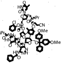 COc1ccc(C(OC[C@@H]2O[C@@H](n3cnc4c3N=CNC4NC(=O)c3ccccc3)C[C@H]2c2c[c]c(Cl)c(C)c2[C@H]2O[C@@H](n3cnc4c(=O)[nH]c(NC(=O)C(C)C)nc43)C[C@@H]2OP(=O)(OC[C@H]2O[C@@H](n3cc(C)c(=O)[nH]c3=O)C[C@@H]2OP(OCCC#N)N(C(C)C)C(C)C)Oc2ccccc2Cl)(c2ccccc2)c2ccc(OC)cc2)cc1